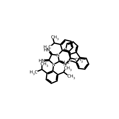 CC(C)c1cccc(C(C)C)c1N1C(=N)C(=N)N(c2c(C(C)C)cccc2C(C)C)C1=Nn1c2ccccc2c2cccnc21